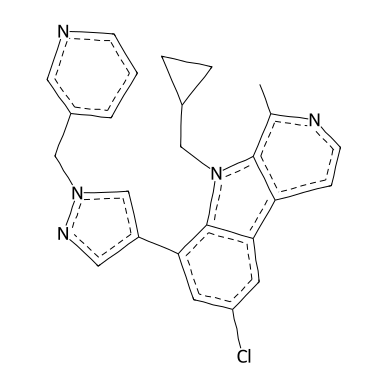 Cc1nccc2c3cc(Cl)cc(-c4cnn(Cc5cccnc5)c4)c3n(CC3CC3)c12